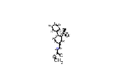 COC(=O)/C=C/c1ccc(-c2ccccc2)c([N+](=O)[O-])c1